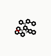 c1ccc(-c2cccc(N(c3ccccc3)c3cc(N(c4ccccc4)c4ccccc4-c4ccccc4)c4sc5cc6ccccc6cc5c4c3)c2)cc1